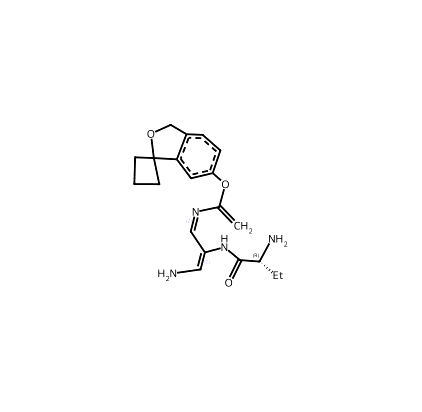 C=C(/N=C\C(=C/N)NC(=O)[C@H](N)CC)Oc1ccc2c(c1)C1(CCC1)OC2